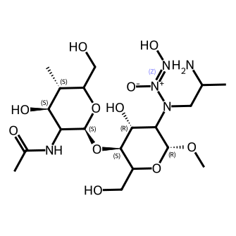 CO[C@@H]1OC(CO)[C@@H](O[C@@H]2OC(CO)[C@@H](C)[C@H](O)C2NC(C)=O)[C@H](O)C1N(CC(C)N)/[N+]([O-])=N/O